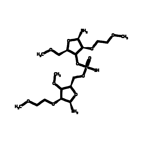 B[C@@H]1O[C@H](COP(=O)(S)OC2[C@@H](COC)O[C@@H](B)[C@H]2OCCOC)C(OC)[C@@H]1OCCOC